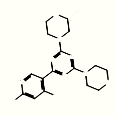 C[C@@H]1CN(c2nc(-c3cnc(N)cc3C(F)(F)F)nc(N3CCOCC3)n2)CCO1